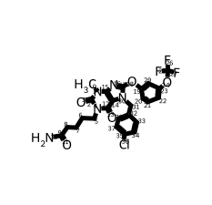 Cn1c(=O)n(CCCCC(N)=O)c(=O)c2c1nc(Oc1cccc(OC(F)(F)F)c1)n2Cc1ccc(Cl)cc1